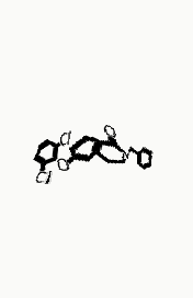 O=C1c2ccc(Oc3c(Cl)cccc3Cl)cc2CCN1Cc1ccccc1